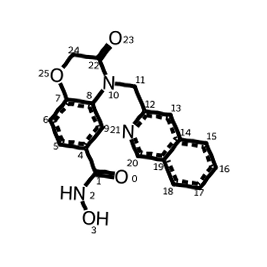 O=C(NO)c1ccc2c(c1)N(Cc1cc3ccccc3cn1)C(=O)CO2